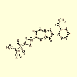 COc1ccccc1-n1cc2cnc(N3CC(S(=O)(=O)N(C)C)C3)cc2n1